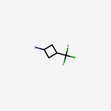 FC(F)(F)C1CC(I)C1